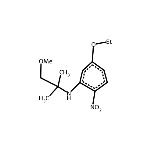 CCOc1ccc([N+](=O)[O-])c(NC(C)(C)COC)c1